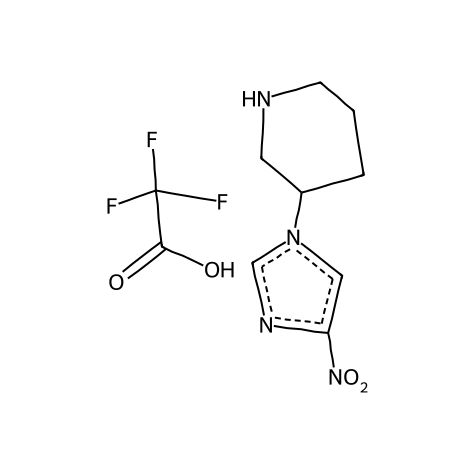 O=C(O)C(F)(F)F.O=[N+]([O-])c1cn(C2CCCNC2)cn1